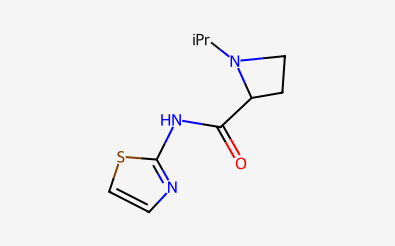 CC(C)N1CCC1C(=O)Nc1nccs1